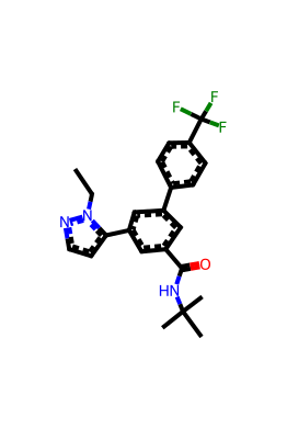 CCn1nccc1-c1cc(C(=O)NC(C)(C)C)cc(-c2ccc(C(F)(F)F)cc2)c1